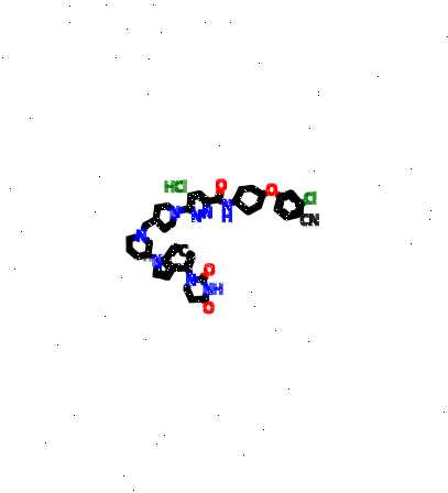 Cl.N#Cc1ccc(OC2CCC(NC(=O)c3ccc(N4CCC(CN5CCC[C@@H](n6ccc7c(N8CCC(=O)NC8=O)cccc76)C5)CC4)nn3)CC2)cc1Cl